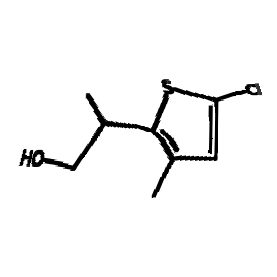 Cc1cc(Cl)sc1C(C)CO